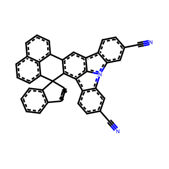 N#Cc1ccc2c3cc4c(c5c6ccc(C#N)cc6n(c2c1)c35)C1(c2ccccc2-c2ccccc21)c1cccc2cccc-4c12